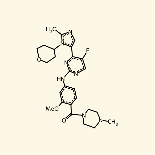 COc1cc(Nc2ncc(F)c(-c3cnc(C)n3C3CCOCC3)n2)ccc1C(=O)N1CCN(C)CC1